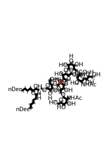 CCCCCCCCCCCCC/C=C/[C@@H](O)[C@H](CO[C@@H]1OC(CO)[C@@H](O[C@@H]2OC(CO[C@@H]3OC(CO)[C@@H](O)[C@H](O)C3NC(C)=O)[C@H](O)[C@H](O[C@@H]3OC(CO)[C@@H](O[C@@H]4OC(CO[C@]5(C(=O)O)CC(O)[C@@H](NC(C)=O)C([C@H](O)[C@H](O)CO)O5)[C@H](O)[C@H](O)C4O)[C@H](O)C3NC(C)=O)C2O)[C@H](O)C1O)NC(=O)CCCCCCCCCCCCCCC